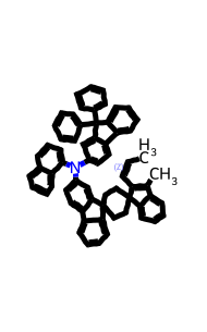 C/C=C\C1=C(C)c2ccccc2C12CCC1(CC2)c2ccccc2-c2ccc(N(c3ccc4c(c3)C(c3ccccc3)(c3ccccc3)c3ccccc3-4)c3cccc4ccccc34)cc21